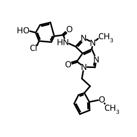 COc1ccccc1CCn1cnc2c(c(NC(=O)c3ccc(O)c(Cl)c3)nn2C)c1=O